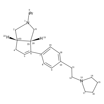 CC(C)N1C[C@H]2CC=C(c3ccc(CCN4CCCC4)cc3)[C@H]2C1